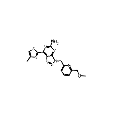 COCc1cccc(Cn2nnc3c(-c4nc(C)cs4)nc(N)nc32)n1